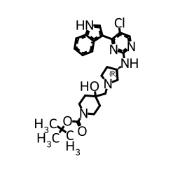 CC(C)(C)OC(=O)N1CCC(O)(CN2CC[C@@H](Nc3ncc(Cl)c(-c4c[nH]c5ccccc45)n3)C2)CC1